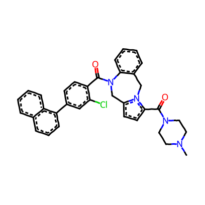 CN1CCN(C(=O)c2ccc3n2Cc2ccccc2N(C(=O)c2ccc(-c4cccc5ccccc45)cc2Cl)C3)CC1